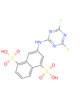 O=S(=O)(O)c1cc(Nc2nc(F)nc(F)n2)cc2c(S(=O)(=O)O)cccc12